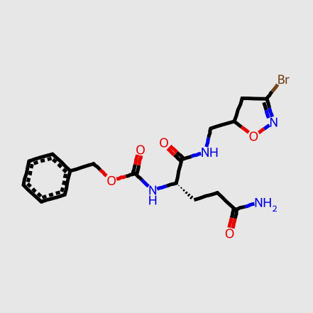 NC(=O)CC[C@H](NC(=O)OCc1ccccc1)C(=O)NCC1CC(Br)=NO1